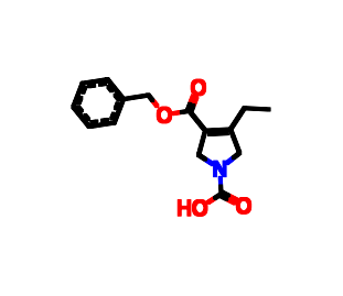 CCC1=C(C(=O)OCc2ccccc2)CN(C(=O)O)C1